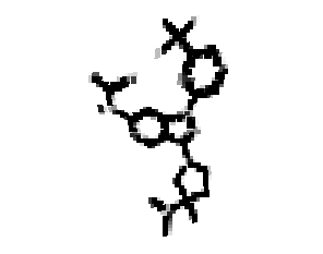 CC(=O)Nc1cc2c(cn1)c(N1CCC(C)(N(C)C)C1)nn2-c1cncc(C(C)(F)F)n1